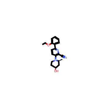 CCOc1ccccc1-c1ccc(N2CC[C@H](O)C[C@@H]2C)c(C#N)n1